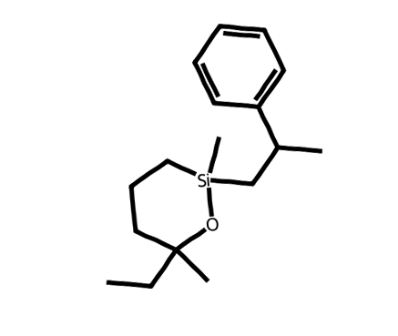 CCC1(C)CCC[Si](C)(CC(C)c2ccccc2)O1